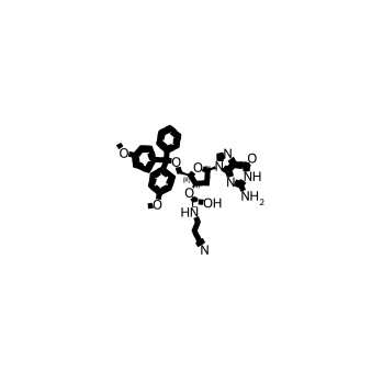 COc1ccc(C(OC[C@H]2O[C@@H](n3cnc4c(=O)[nH]c(N)nc43)C[C@@H]2OP(O)NCCC#N)(c2ccccc2)c2ccc(OC)cc2)cc1